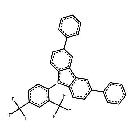 FC(F)(F)c1ccc(-n2c3ccc(-c4ccccc4)cc3c3cc(-c4ccccc4)ccc32)c(C(F)(F)F)c1